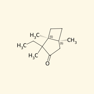 CCC1(C)C(=O)C[C@]2(C)CC[C@]12C